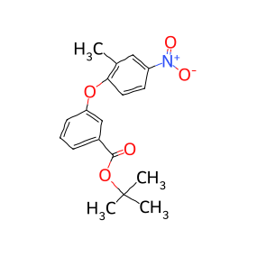 Cc1cc([N+](=O)[O-])ccc1Oc1cccc(C(=O)OC(C)(C)C)c1